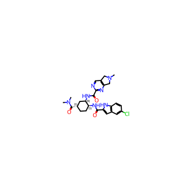 CN1Cc2cnc(C(=O)N[C@@H]3C[C@@H](C(=O)N(C)C)CC[C@@H]3NC(=O)c3cc4cc(Cl)ccc4[nH]3)nc2C1